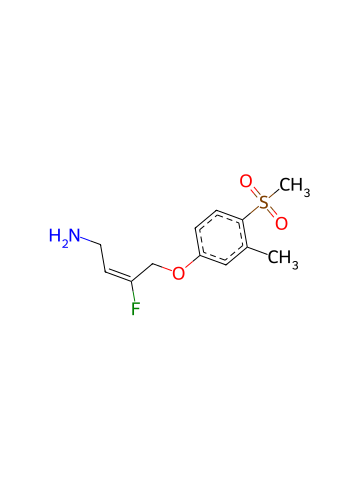 Cc1cc(OC/C(F)=C\CN)ccc1S(C)(=O)=O